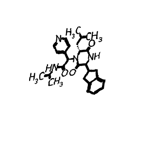 CC(C)C[C@@H]1C(=O)NC(C2Cc3ccccc3C2)C(=O)N1[C@@H](C(=O)NC(C)C)c1ccncc1